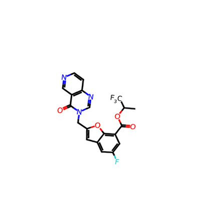 CC(OC(=O)c1cc(F)cc2cc(Cn3cnc4ccncc4c3=O)oc12)C(F)(F)F